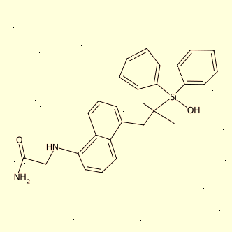 CC(C)(Cc1cccc2c(NCC(N)=O)cccc12)[Si](O)(c1ccccc1)c1ccccc1